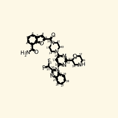 NC(=O)c1cccc2cc(C(=O)N3CCN(c4cc(-n5c(C(F)F)nc6ccccc65)nc(C5CNCCO5)n4)CC3)oc12